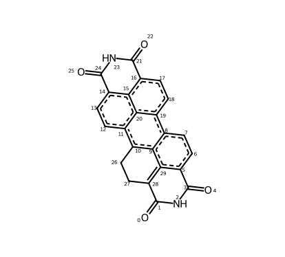 O=C1NC(=O)c2ccc3c4c(c5ccc6c7c(ccc3c57)C(=O)NC6=O)CCC1=c24